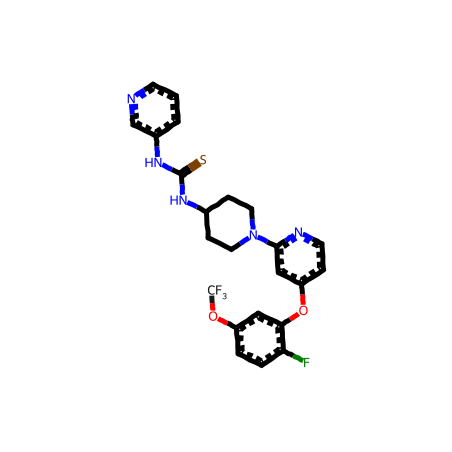 Fc1ccc(OC(F)(F)F)cc1Oc1ccnc(N2CCC(NC(=S)Nc3cccnc3)CC2)c1